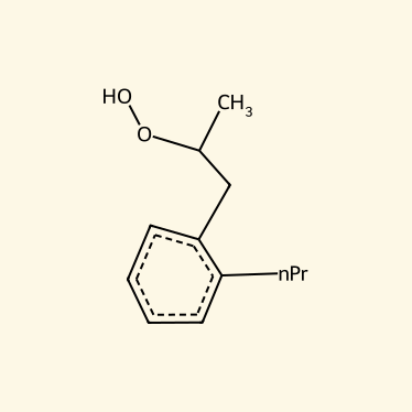 CCCc1ccccc1CC(C)OO